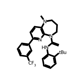 C=C(Nc1ccccc1C(C)(C)C)N1CCCN(C)c2ccc(-c3cccc(C(F)(F)F)c3)nc21